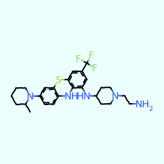 CC1CCCCN1c1ccc2c(c1)Sc1cc(C(F)(F)F)cc(NC3CCN(CCN)CC3)c1N2